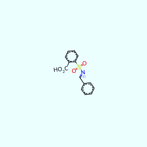 O=C(O)c1ccccc1S(=O)(=O)/N=C/c1ccccc1